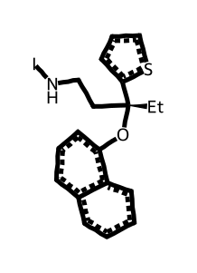 CC[C@](CCNI)(Oc1cccc2ccccc12)c1cccs1